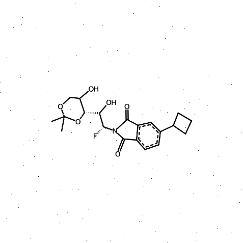 CC1(C)OCC(O)[C@H](C(O)[C@@H](F)N2C(=O)c3ccc(C4CCC4)cc3C2=O)O1